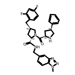 Cn1nnc2cc(CNC(=O)[C@@H]3C[C@@H](Cc4ccc(F)cc4F)CN3C(=O)[C@H]3C[C@@H](c4ccccc4)CN3)ccc21